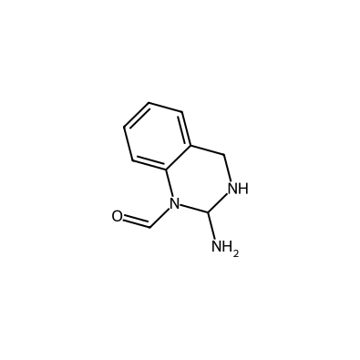 NC1NCc2ccccc2N1C=O